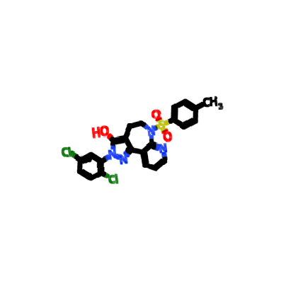 Cc1ccc(S(=O)(=O)N2CCc3c(nn(-c4cc(Cl)ccc4Cl)c3O)-c3cccnc32)cc1